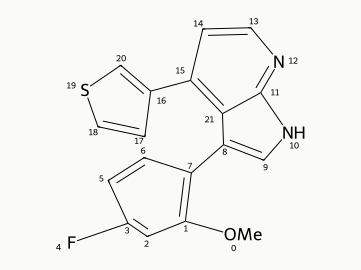 COc1cc(F)ccc1-c1c[nH]c2nccc(-c3ccsc3)c12